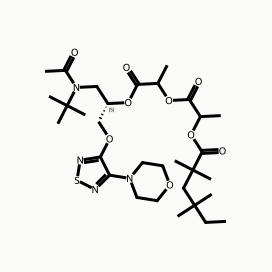 CCC(C)(C)CC(C)(C)C(=O)OC(C)C(=O)OC(C)C(=O)O[C@H](COc1nsnc1N1CCOCC1)CN(C(C)=O)C(C)(C)C